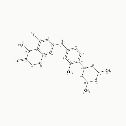 Cc1cc(Nc2cc(F)c3c(c2)OCC(=O)N3C)ccc1N1CC(C)OC(C)C1